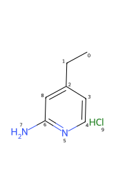 CCc1ccnc(N)c1.Cl